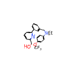 CCN(Cc1cccc(-c2cccc(CO)n2)c1)c1ccc(OC(F)(F)F)cc1